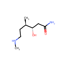 CNCC[C@@H](C)[C@@H](O)CC(N)=O